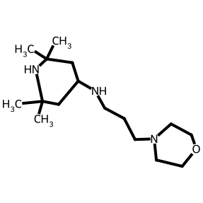 CC1(C)CC(NCCCN2CCOCC2)CC(C)(C)N1